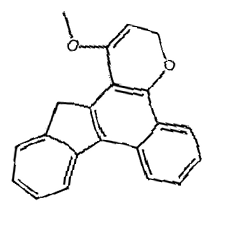 COC1=CCOc2c1c1c(c3ccccc23)-c2ccccc2C1